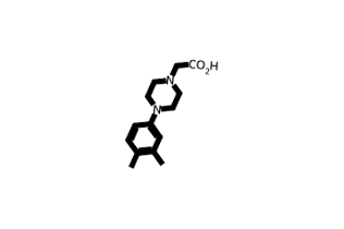 Cc1ccc(N2CCN(CC(=O)O)CC2)cc1C